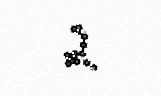 Nc1ccc(-c2ccc(-c3ccc(N(c4ccc(-c5ccccc5)cc4)c4ccc5c(c4)C(c4ccccc4)(c4ccccc4)c4ccccc4-5)cc3)cc2)cc1C1=Cc2cccc3cccc1c23